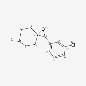 CC1CCC2(CC1)OC2c1cccc(Cl)c1